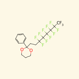 FC(F)(F)C(F)(F)C(F)(F)C(F)(F)C(F)(F)C(F)(F)CCC1(c2ccccc2)OCCCO1